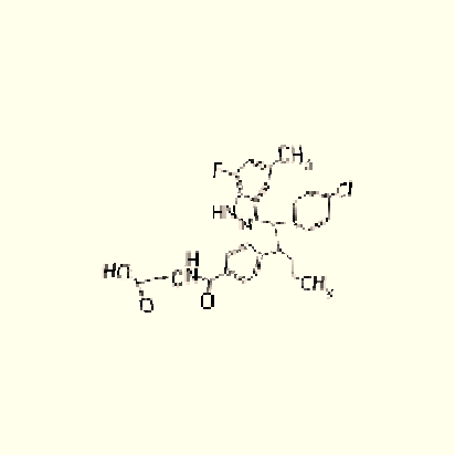 CCCC(c1ccc(C(=O)NCCC(=O)O)cc1)C(c1ccc(Cl)cc1)c1n[nH]c2c(F)cc(C)cc12